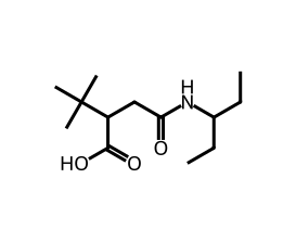 CCC(CC)NC(=O)CC(C(=O)O)C(C)(C)C